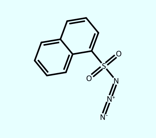 [N-]=[N+]=NS(=O)(=O)c1cccc2ccccc12